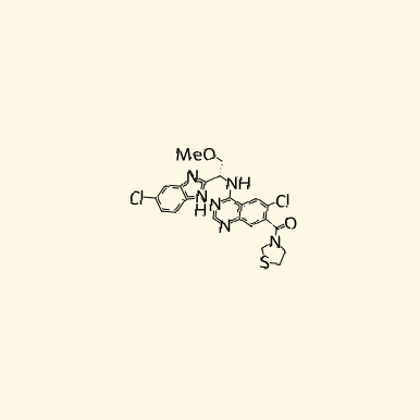 COC[C@H](Nc1ncnc2cc(C(=O)N3CCSC3)c(Cl)cc12)c1nc2cc(Cl)ccc2[nH]1